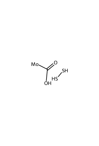 O=[C](O)[Mo].SS